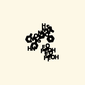 Cc1csc(Nc2ncc(SC(C(=O)N3CCCCC3C)C3CCNCC3)cc2Oc2ccccc2)n1.O=C(O)C(F)(F)F.O=C(O)C(F)(F)F